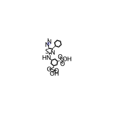 C/N=N/c1sc(Nc2cc(S(=O)(=O)O)cc(S(=O)(=O)O)c2)nc1-c1ccccc1